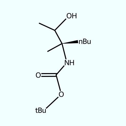 CCCC[C@](C)(NC(=O)OC(C)(C)C)C(C)O